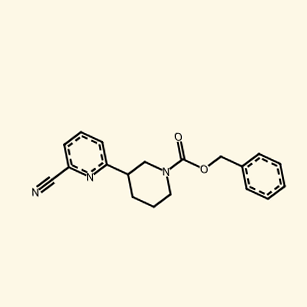 N#Cc1cccc(C2CCCN(C(=O)OCc3ccccc3)C2)n1